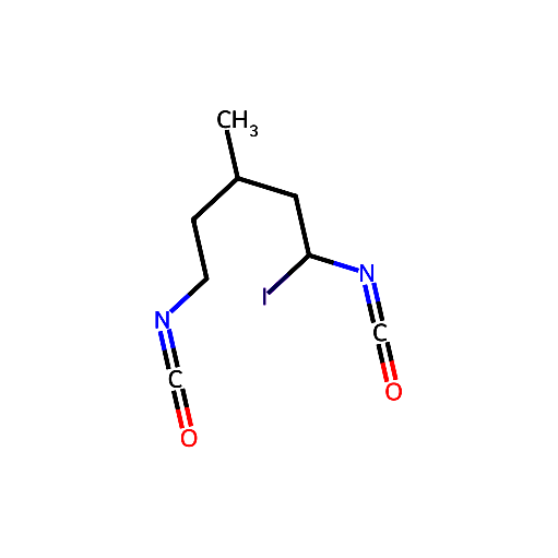 CC(CCN=C=O)CC(I)N=C=O